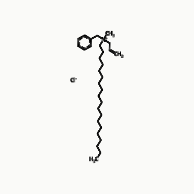 C=CC[N+](C)(CCCCCCCCCCCCCCCCCCC)Cc1ccccc1.[Cl-]